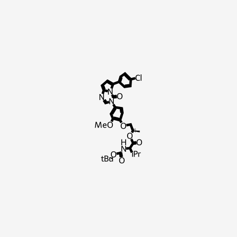 COc1cc(-n2cnc3ccc(-c4ccc(Cl)cc4)n3c2=O)ccc1OC[C@@H](C)OC(=O)C(NC(=O)OC(C)(C)C)C(C)C